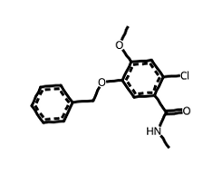 CNC(=O)c1cc(OCc2ccccc2)c(OC)cc1Cl